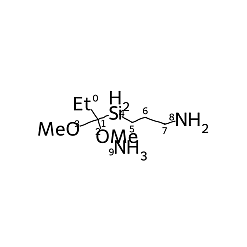 CCC(OC)(OC)[SiH2]CCCN.N